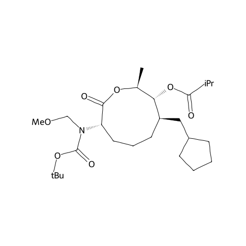 COCN(C(=O)OC(C)(C)C)[C@H]1CCC[C@H](CC2CCCC2)[C@@H](OC(=O)C(C)C)[C@H](C)OC1=O